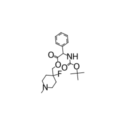 CN1CCC(F)(COC(=O)C(NC(=O)OC(C)(C)C)c2ccccc2)CC1